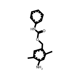 Cc1cc(COC(=O)Nc2ccccc2)c(C)cc1N